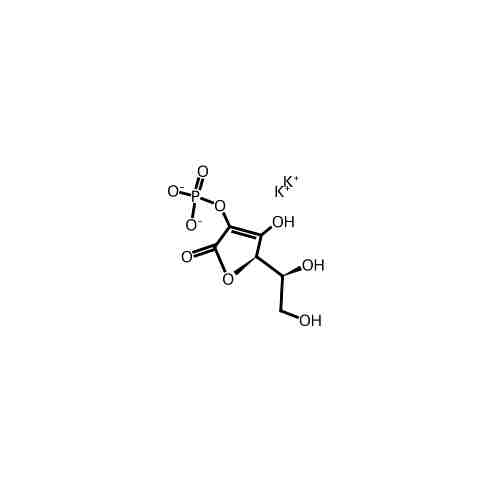 O=C1O[C@H]([C@@H](O)CO)C(O)=C1OP(=O)([O-])[O-].[K+].[K+]